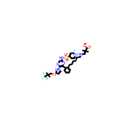 COC(=O)C(C)(C)CNCCCCCCc1ccccc1-c1nc(NS(=O)(=O)c2ccnc(F)c2)cnc1-n1ccc(OCC(C)(C)C(F)(F)F)n1